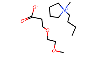 CCCC[N+]1(C)CCCC1.COCCOCCC(=O)[O-]